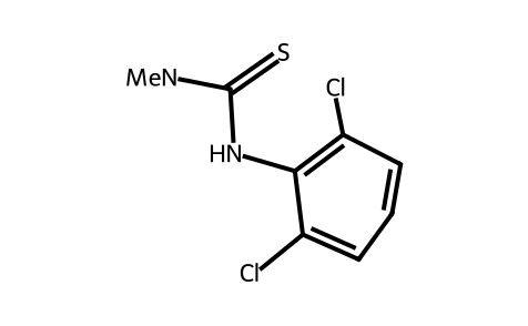 CNC(=S)Nc1c(Cl)cccc1Cl